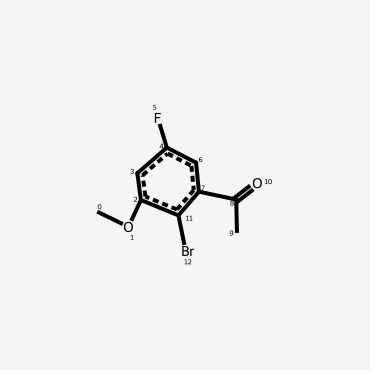 COc1cc(F)cc(C(C)=O)c1Br